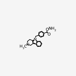 CN1CCc2c(c3ccccc3n2Cc2ccc(C(=O)ON)cc2)C1